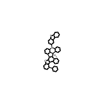 CC12c3ccccc3N(c3ccc4sc5ccccc5c4c3)c3cccc(c31)-c1c2c2ccccc2c2c1oc1cccc(-c3ccccc3)c12